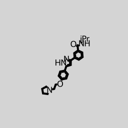 CC(C)NC(=O)c1cccc(-c2cc(-c3ccc(OCCN4CCCC4)cc3)[nH]n2)c1